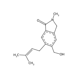 CC(C)=CCc1cc2c(cc1CO)CN(C)C2=O